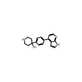 OC1(c2ccc(-c3ccnc4[nH]ccc34)cc2)CCNCC1